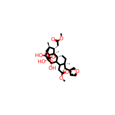 COC(=O)CC1[C@]23OC4(C)O[C@@]2(CC[C@@]1(C)[C@@H](C)c1ccoc1)[C@]1(C)[C@@H](CC(=O)OC)[C@@]2(C)C[C@@]1(O4)[C@](O)(C2O)[C@H]3O